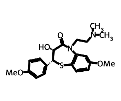 COc1ccc([C@H]2Sc3ccc(OC)cc3N(CCN(C)C)C(=O)[C@H]2O)cc1